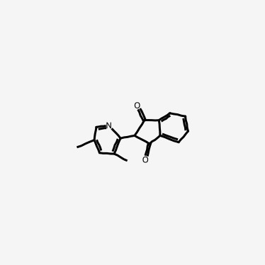 Cc1cnc(C2C(=O)c3ccccc3C2=O)c(C)c1